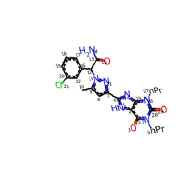 CCCn1c(=O)c2[nH]c(-c3cc(C)n(C(C(N)=O)c4cccc(Cl)c4)n3)nc2n(CCC)c1=O